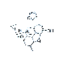 C=C1CC[C@@]2(O)[C@H]3Cc4ccc(O)c5c4[C@@]2(CCN3CC2CC2)[C@H]1O5.c1ccoc1